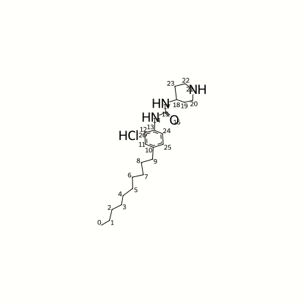 CCCCCCCCCCc1ccc(NC(=O)NC2CCNCC2)cc1.Cl